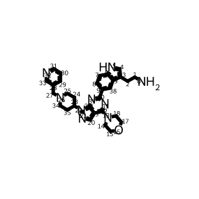 NCCc1c[nH]c2ccc(-c3nc(N4CCOCC4)c4cnn(C5CCN(Cc6cccnc6)CC5)c4n3)cc12